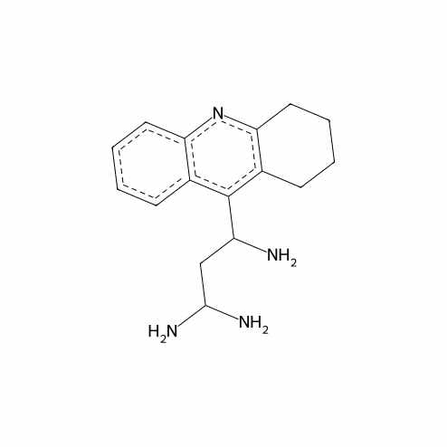 NC(N)CC(N)c1c2c(nc3ccccc13)CCCC2